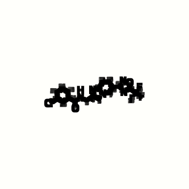 O=C(NCc1cn2cc(-c3noc(C(F)(F)F)n3)ccc2n1)c1cccc(Cl)c1